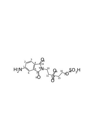 Nc1ccc2c(c1)C(=O)N(CCS(=O)(=O)CCOS(=O)(=O)O)C2=O